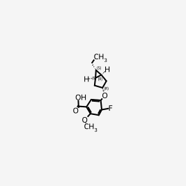 CC[C@@H]1[C@H]2C[C@H](Oc3cc(C(=O)O)c(OC)cc3F)C[C@@H]12